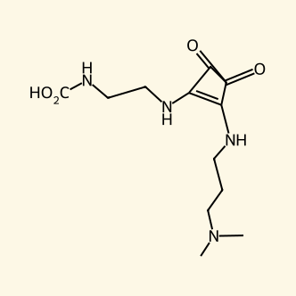 CN(C)CCCNc1c(NCCNC(=O)O)c(=O)c1=O